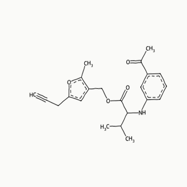 C#CCc1cc(COC(=O)C(Nc2cccc(C(C)=O)c2)C(C)C)c(C)o1